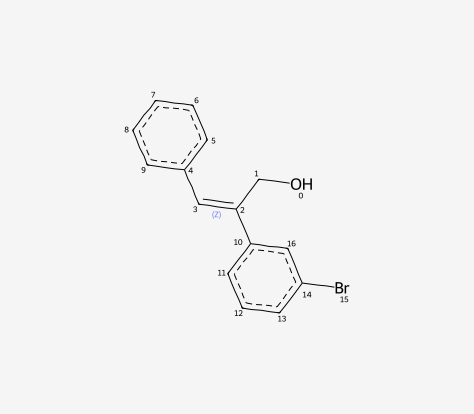 OC/C(=C\c1ccccc1)c1cccc(Br)c1